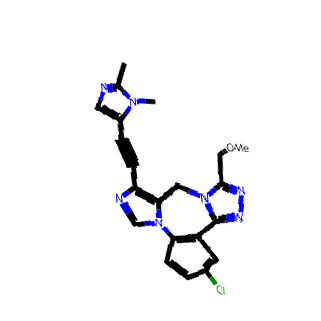 COCc1nnc2n1Cc1c(C#Cc3cnc(C)n3C)ncn1-c1ccc(Cl)cc1-2